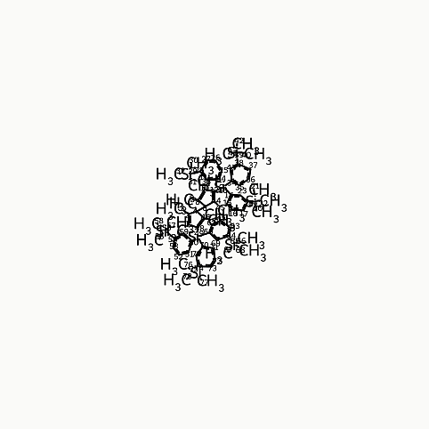 CC1=C(C)C(C)(C2(C)C(C)=C(C)C([Si](c3cccc([Si](C)(C)C)c3)(c3cccc([Si](C)(C)C)c3)c3cccc([Si](C)(C)C)c3)=C2C)C(C)=C1[Si](c1cccc([Si](C)(C)C)c1)(c1cccc([Si](C)(C)C)c1)c1cccc([Si](C)(C)C)c1